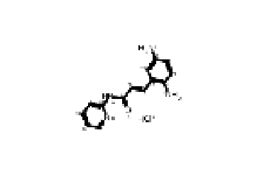 Cl.Nc1ccc(N)c(C=CC(=O)Nc2ccccn2)c1